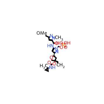 C=C[C@]1(OC(=O)NC2(C)CC2)CO[C@@H](c2cc(NC(=O)c3cc(COC)nn3C)n(COP(=O)(O)O)n2)C1